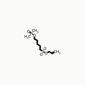 C=CCOS(=O)(=O)CCCCCOP(C)(C)=O